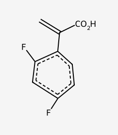 C=C(C(=O)O)c1ccc(F)cc1F